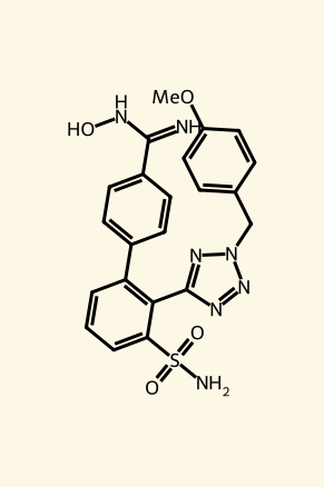 COc1ccc(Cn2nnc(-c3c(-c4ccc(C(=N)NO)cc4)cccc3S(N)(=O)=O)n2)cc1